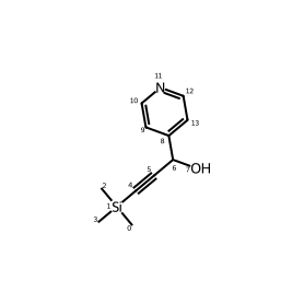 C[Si](C)(C)C#CC(O)c1ccncc1